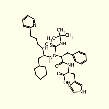 CC(C)(C)NC(=S)N(N[C@@H](CC1CCCCC1)[C@@H](O)CCCc1ccccn1)[C@@H](Cc1ccccc1)C(=O)N[C@@H](Cc1c[nH]cn1)C(=O)O